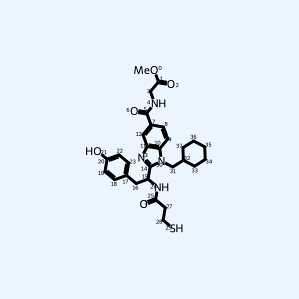 COC(=O)CNC(=O)c1ccc2c(c1)nc(C(Cc1ccc(O)cc1)NC(=O)CCS)n2CC1CCCCC1